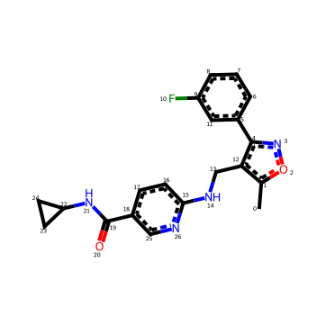 Cc1onc(-c2cccc(F)c2)c1CNc1ccc(C(=O)NC2CC2)cn1